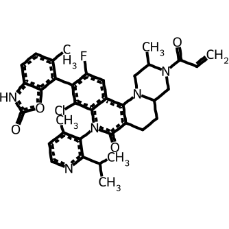 C=CC(=O)N1CC2CCc3c(c4cc(F)c(-c5c(C)ccc6[nH]c(=O)oc56)c(Cl)c4n(-c4c(C)ccnc4C(C)C)c3=O)N2CC1C